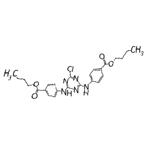 CCCCOC(=O)c1ccc(Nc2nc(Cl)nc(Nc3ccc(C(=O)OCCCC)cc3)n2)cc1